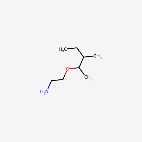 CCC(C)C(C)OCCN